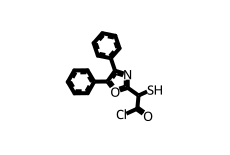 O=C(Cl)C(S)c1nc(-c2ccccc2)c(-c2ccccc2)o1